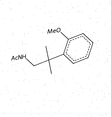 COc1ccccc1C(C)(C)CNC(C)=O